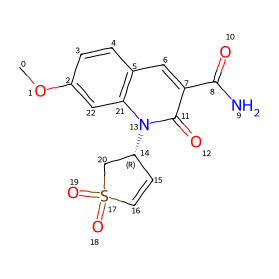 COc1ccc2cc(C(N)=O)c(=O)n([C@@H]3C=CS(=O)(=O)C3)c2c1